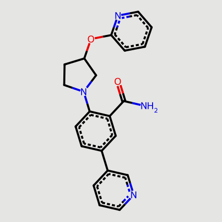 NC(=O)c1cc(-c2cccnc2)ccc1N1CCC(Oc2ccccn2)C1